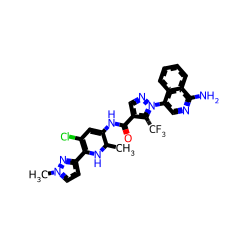 CC1NC(c2ccn(C)n2)=C(Cl)C=C1NC(=O)c1cnn(-c2cnc(N)c3ccccc23)c1C(F)(F)F